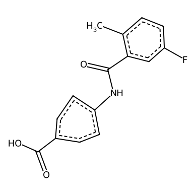 Cc1ccc(F)cc1C(=O)Nc1ccc(C(=O)O)cc1